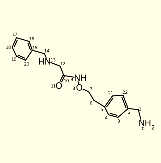 NCc1ccc(CCONC(=O)CNCc2ccccc2)cc1